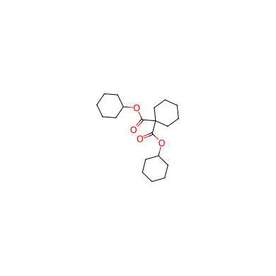 O=C(OC1CCCCC1)C1(C(=O)OC2CCCCC2)CCCCC1